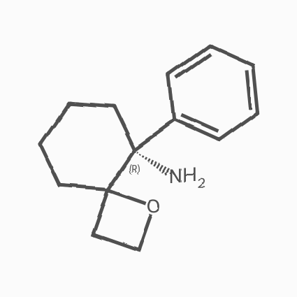 N[C@@]1(c2ccccc2)CCCCC12CCO2